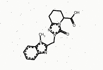 Cn1c(Cn2nc3n(c2=O)C(C(=O)O)CCC3)nc2ccccc21